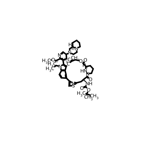 CCn1c(C2=C([C@H](C)OC)N=CC(N3CCN4CCCC[C@@H]4C3)C2)c2c3cc(ccc31)-c1csc(n1)C[C@H](NC(=O)OC(C)(C)C)C(=O)N1CCC[C@H](N1)C(=O)OCC(C)(C)C2